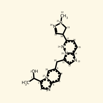 CC(O)c1cnc2ccc(Cc3cnc4ccc(C5C=NN(C)C5)nn34)cn12